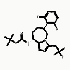 CC(C)(C)OC(=O)N[C@@H]1CC[C@@H](c2c(F)cccc2F)Cn2c(CC(F)(F)F)cnc21